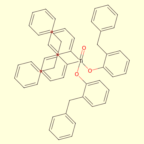 [O]=[Ti]([O]c1ccccc1Cc1ccccc1)([O]c1ccccc1Cc1ccccc1)([c]1ccccc1Cc1ccccc1)[c]1ccccc1Cc1ccccc1